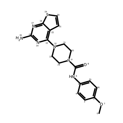 COc1ccc(NC(=O)N2CCN(c3nc(N)nc4sccc34)CC2)cc1